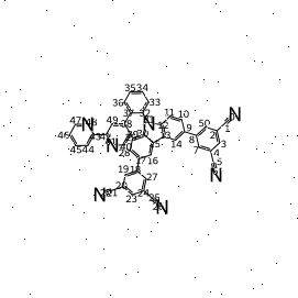 N#Cc1cc(C#N)cc(-c2ccc3c(c2)c2cc(-c4cc(C#N)cc(C#N)c4)ccc2n3-c2ccccc2-c2ccnc(-c3ccccn3)c2)c1